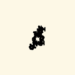 Cc1cccc(C)c1-c1cc2nc(n1)NS(=O)(=O)c1cccc(c1)C(=O)N(Cc1ccc3c(I)cn(C)c3n1)[C@H](CC(C)(C)C)CO2